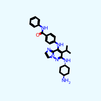 CC(C)c1c(N[C@H]2CC[C@H](N)CC2)nn2ccnc2c1Nc1ccc(C(=O)Nc2ccccc2)cc1